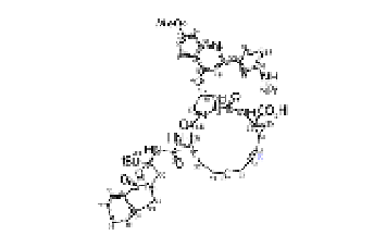 COc1ccc2c(O[C@@H]3C[C@H]4C(=O)N[C@]5(C(=O)O)CC5/C=C\CCCCC[C@H](NC(=O)NC(CN5CCc6ccccc6S5(=O)=O)C(C)(C)C)C(=O)N4C3)cc(-c3csc(NC(C)C)n3)nc2c1